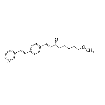 COCCCCCC(=O)/C=C/c1ccc(/C=C/c2cccnc2)cc1